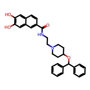 O=C(NCCN1CCC(OC(c2ccccc2)c2ccccc2)CC1)c1ccc2cc(O)c(O)cc2c1